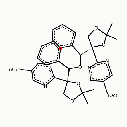 CCCCCCCCc1cnc([C@@]2(C(OC(c3ccccc3)[C@]3(c4ncc(CCCCCCCC)cn4)COC(C)(C)O3)c3ccccc3)COC(C)(C)O2)nc1